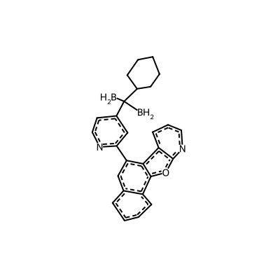 BC(B)(c1ccnc(-c2cc3ccccc3c3oc4ncccc4c23)c1)C1CCCCC1